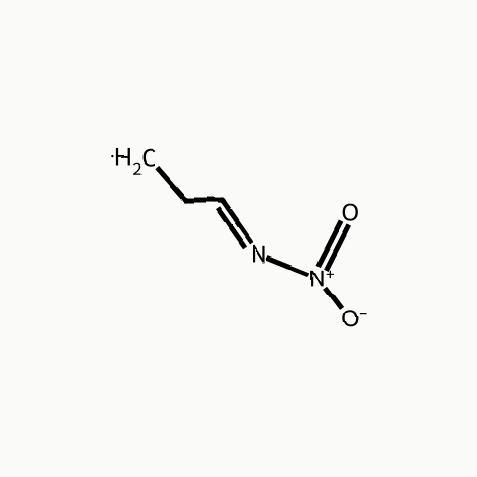 [CH2]C/C=N/[N+](=O)[O-]